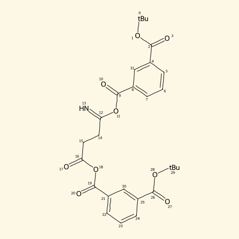 CC(C)(C)OC(=O)c1cccc(C(=O)OC(=N)CCC(=O)OC(=O)c2cccc(C(=O)OC(C)(C)C)c2)c1